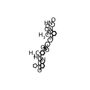 Cc1cc(S(=O)(=O)N2CCC3(CCN(c4cccc5c4n(C)c(=O)n5C4CCC(=O)NC4=O)CC3)CC2)ccc1Nc1ncc2ccc(=O)n(C3CCCC3)c2n1